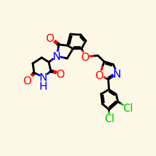 O=C1CCC(N2Cc3c(OCc4cnc(-c5ccc(Cl)c(Cl)c5)o4)cccc3C2=O)C(=O)N1